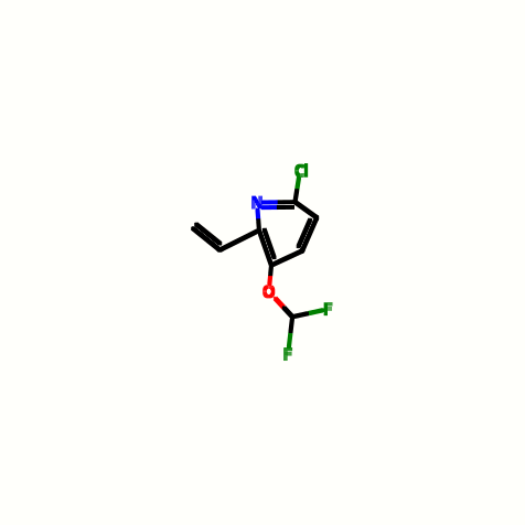 C=Cc1nc(Cl)ccc1OC(F)F